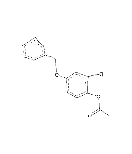 CC(=O)Oc1ccc(OCc2ccccc2)cc1Cl